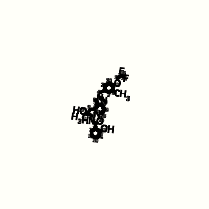 Cc1cc(Cn2cc3c(CC(C)(O)CNC(=O)c4ccccc4O)nccc3n2)ccc1OCC(F)F